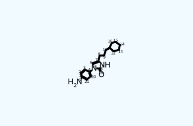 Nc1ccc(-n2cc(CCCC3CCCCC3)[nH]c2=O)cc1